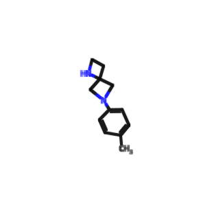 Cc1ccc(N2CC3(CCN3)C2)cc1